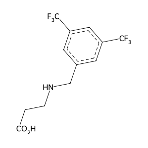 O=C(O)CCNCc1cc(C(F)(F)F)cc(C(F)(F)F)c1